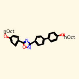 CCCCCCCCOc1ccc(-c2ccc(-c3noc(-c4ccc(OCCCCCCCC)cc4)n3)cc2)cc1